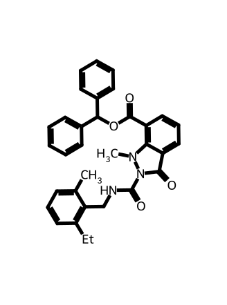 CCc1cccc(C)c1CNC(=O)n1c(=O)c2cccc(C(=O)OC(c3ccccc3)c3ccccc3)c2n1C